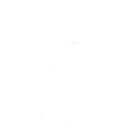 Fc1ccc(C(F)(F)Br)c(F)c1F.Oc1ccccc1Cl